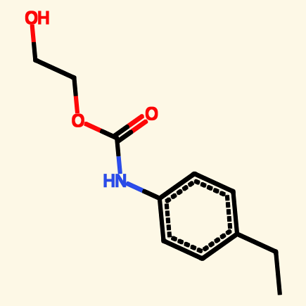 CCc1ccc(NC(=O)OCCO)cc1